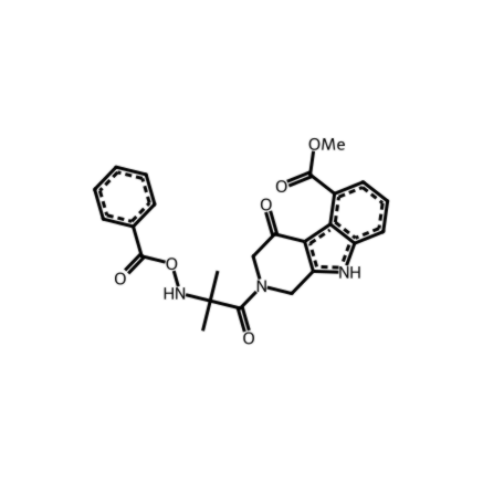 COC(=O)c1cccc2[nH]c3c(c12)C(=O)CN(C(=O)C(C)(C)NOC(=O)c1ccccc1)C3